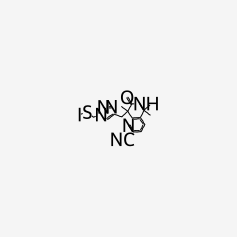 CC1(C)NC(=O)C(C)(Cc2cn(CSI)nn2)c2nc(C#N)ccc21